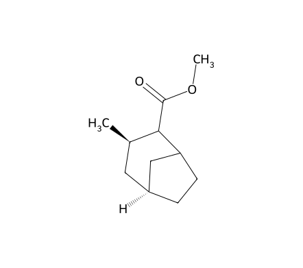 COC(=O)C1C2CC[C@H](C2)C[C@H]1C